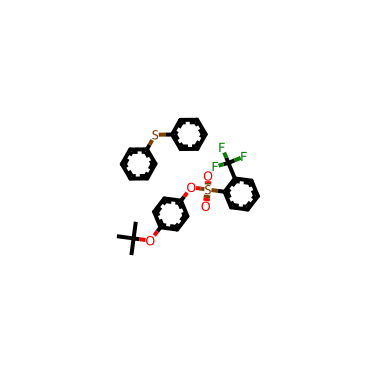 CC(C)(C)Oc1ccc(OS(=O)(=O)c2ccccc2C(F)(F)F)cc1.c1ccc(Sc2ccccc2)cc1